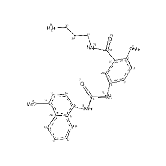 COc1ccc(NC(=O)Nc2ccc(OC)c3cccnc23)cc1C(=O)NCCCN